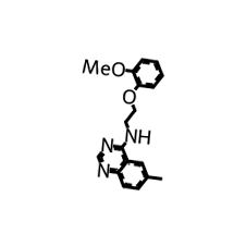 COc1ccccc1OCCNc1ncnc2ccc(C)cc12